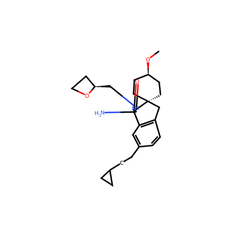 CO[C@H]1CC[C@]2(CC1)Cc1ccc(CCC3CC3)cc1[C@]21N=C(N)N(C[C@@H]2CCO2)C1=O